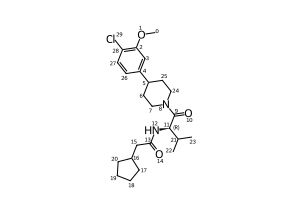 COc1cc(C2CCN(C(=O)[C@H](NC(=O)CC3CCCC3)C(C)C)CC2)ccc1Cl